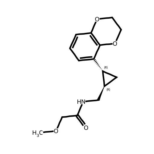 COCC(=O)NC[C@@H]1C[C@H]1c1cccc2c1OCCO2